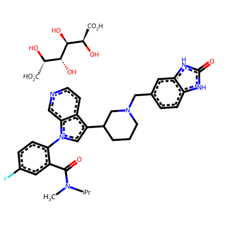 CC(C)N(C)C(=O)c1cc(F)ccc1-n1cc(C2CCCN(Cc3ccc4[nH]c(=O)[nH]c4c3)C2)c2ccncc21.O=C(O)[C@@H](O)[C@H](O)[C@H](O)[C@@H](O)C(=O)O